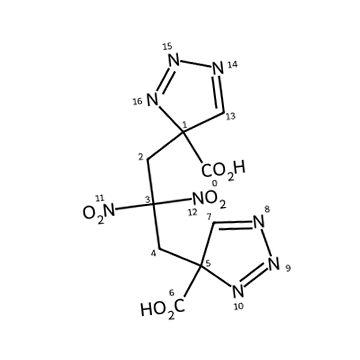 O=C(O)C1(CC(CC2(C(=O)O)C=NN=N2)([N+](=O)[O-])[N+](=O)[O-])C=NN=N1